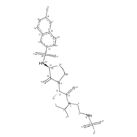 CC(C)N(CCNS(C)(=O)=O)C(=O)[C@H](C)N1CC[C@H](NS(=O)(=O)c2ccc3cc(Cl)ccc3c2)C1=O